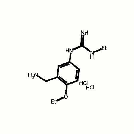 CCNC(=N)Nc1ccc(OCC)c(CN)c1.Cl.Cl